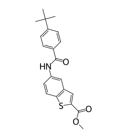 COC(=O)c1cc2cc(NC(=O)c3ccc(C(C)(C)C)cc3)ccc2s1